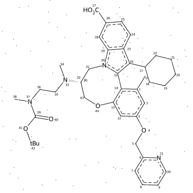 Cc1cc(OCc2ccccn2)cc2c1-c1c(C3CCCCC3)c3ccc(C(=O)O)cc3n1C[C@@H](N(C)CCN(C)C(=O)OC(C)(C)C)CO2